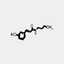 CCCCNC(=O)C=Cc1cccc(O)c1